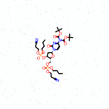 CCCCOP(=O)(OCCC#N)OC[C@H]1O[C@@H](n2ccc(N(C(=O)OC(C)(C)C)C(=O)OC(C)(C)C)nc2=O)C[C@@H]1OP(=O)(OCCC#N)OCCCC